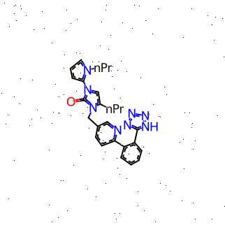 CCCc1cn(-c2cccn2CCC)c(=O)n1Cc1ccc(-c2ccccc2-c2nnn[nH]2)nc1